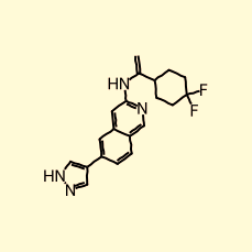 C=C(Nc1cc2cc(-c3cn[nH]c3)ccc2cn1)C1CCC(F)(F)CC1